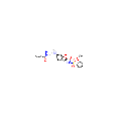 CCOc1ccccc1S(=O)(=O)NC(=O)c1cc2c(F)cc(N3CCC3CNC(=O)OC)cc2o1